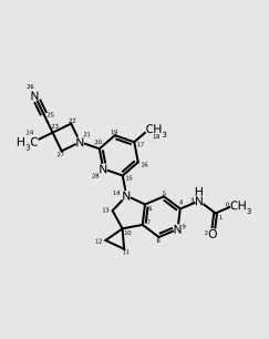 CC(=O)Nc1cc2c(cn1)C1(CC1)CN2c1cc(C)cc(N2CC(C)(C#N)C2)n1